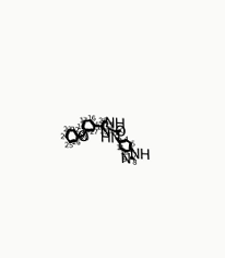 O=C(Nc1ccc2[nH]cnc2c1)c1nc(-c2cccc(Oc3ccccc3)c2)c[nH]1